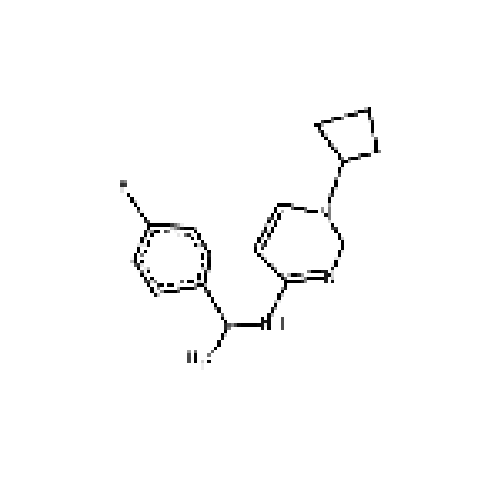 CC(NC1=NCN(C2CCC2)C=C1)c1ccc(F)cc1